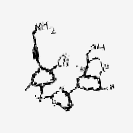 Cc1cc(C#CCN)c(C#N)cc1Nc1nccc(-c2cc(C#N)c3c(c2)[C@@](C)(CO)CN3)n1